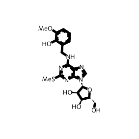 COc1cccc(CNc2nc(SC)nc3c2ncn3[C@@H]2O[C@H](CO)[C@@H](O)[C@H]2O)c1O